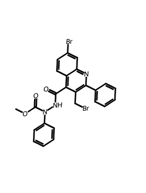 COC(=O)N(NC(=O)c1c(CBr)c(-c2ccccc2)nc2cc(Br)ccc12)c1ccccc1